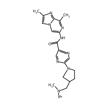 Cc1cn2cc(NC(=O)c3cnc(N4CCC(CN(C)C(C)C)C4)cn3)nc(C)c2n1